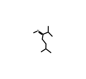 C/N=C(\CCC(C)C)C(C)C